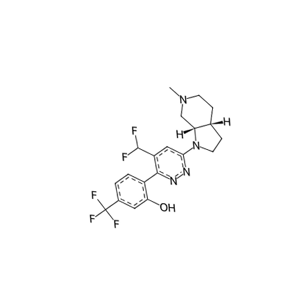 CN1CC[C@@H]2CCN(c3cc(C(F)F)c(-c4ccc(C(F)(F)F)cc4O)nn3)[C@@H]2C1